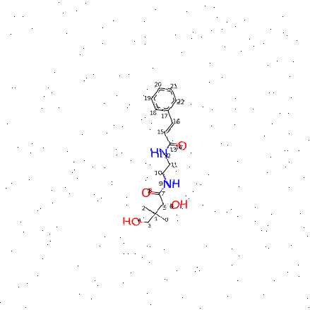 CC(C)(CO)[C@@H](O)C(=O)NCCNC(=O)/C=C/c1ccccc1